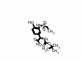 CCS(=O)(=O)Nc1cc(C(NC(=O)OC(C)(C)C)C(=O)O)ccc1O